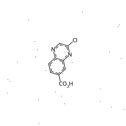 O=C(O)c1ccc2ncc(Cl)nc2c1